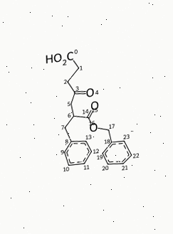 O=C(O)CCC(=O)CC(Cc1ccccc1)C(=O)OCc1ccccc1